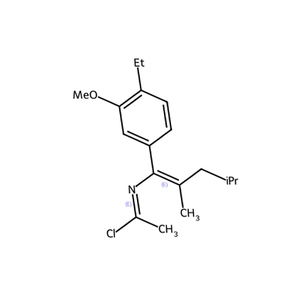 CCc1ccc(C(/N=C(\C)Cl)=C(/C)CC(C)C)cc1OC